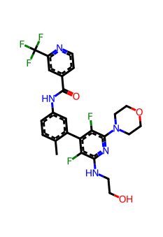 Cc1ccc(NC(=O)c2ccnc(C(F)(F)F)c2)cc1-c1c(F)c(NCCO)nc(N2CCOCC2)c1F